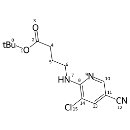 CC(C)(C)OC(=O)CCCNc1ncc(C#N)cc1Cl